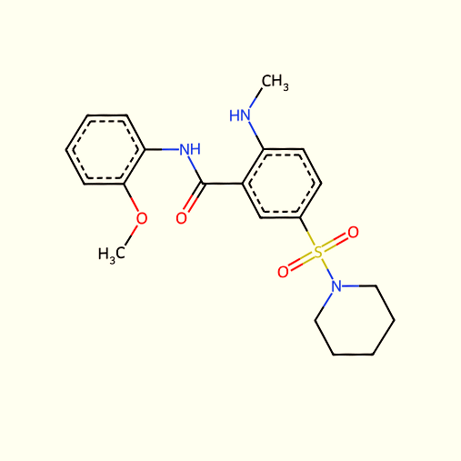 CNc1ccc(S(=O)(=O)N2CCCCC2)cc1C(=O)Nc1ccccc1OC